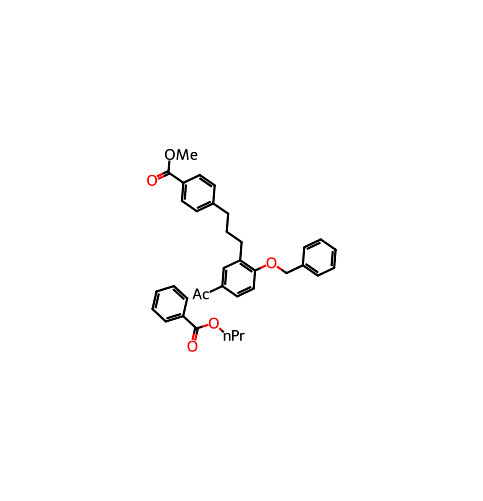 CCCOC(=O)c1ccccc1.COC(=O)c1ccc(CCCc2cc(C(C)=O)ccc2OCc2ccccc2)cc1